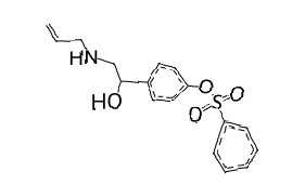 C=CCNCC(O)c1ccc(OS(=O)(=O)c2ccccc2)cc1